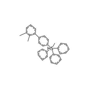 Cc1cccc(-c2ccc([SH](C)(c3ccccc3)(c3ccccc3)c3ccccc3)cc2)c1C